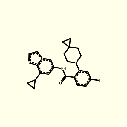 O=C(Nc1cc(C2CC2)c2nccn2c1)c1ccc(I)cc1N1CCC2(CC1)CC2